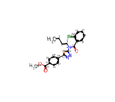 CCCCN(C(=O)c1ccccc1F)c1nnc(-c2ccc(C(=O)OC)cc2)s1